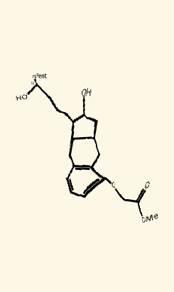 CCCCC[C@H](O)CCC1C(O)CC2Cc3c(cccc3OCC(=O)OC)CC21